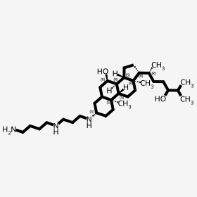 CC(C)C(O)CC[C@@H](C)[C@H]1CC[C@H]2[C@@H]3[C@H](O)CC4C[C@@H](NCCCNCCCCN)CC[C@]4(C)[C@H]3CC[C@]12C